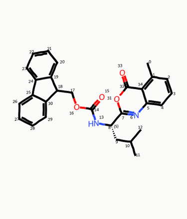 Cc1cccc2nc([C@H](CC(C)C)NC(=O)OCC3c4ccccc4-c4ccccc43)oc(=O)c12